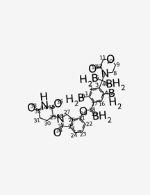 Bc1cc(C(B)(B)N2CCOCC2=O)c(B)cc1C(B)Oc1cccc2c1CN(C1CCC(=O)NC1=O)C2=O